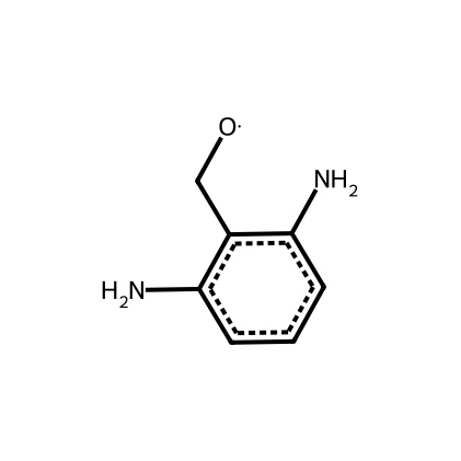 Nc1cccc(N)c1C[O]